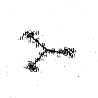 CC(=O)N[C@H]1C(O)[C@H](O)C(CO)O[C@H]1OCCCCC(=O)NCCCNC(=O)CCOCC(C)(COCCC(=O)NCCCNC(=O)CCCCO[C@@H]1OC(CO)[C@@H](O)C(O)[C@@H]1NC(C)=O)COCCC(=O)NCCCNC(=O)CCCCO[C@@H]1OC(CO)[C@@H](O)C(O)[C@@H]1NC(C)=O